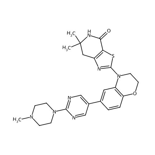 CN1CCN(c2ncc(-c3ccc4c(c3)N(c3nc5c(s3)C(=O)NC(C)(C)C5)CCO4)cn2)CC1